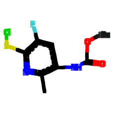 Cc1nc(SCl)c(F)cc1NC(=O)OC(C)(C)C